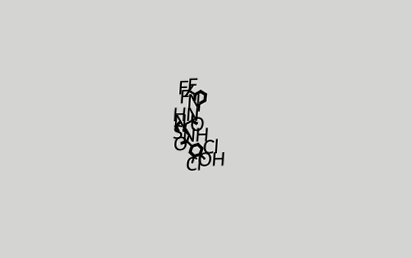 O=C(Nc1scnc1C(=O)NCc1cccc(C(F)(F)F)n1)c1cc(Cl)c(O)c(Cl)c1